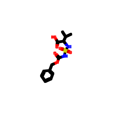 CC(C)C(NS(=O)(=O)NC(=O)OCc1ccccc1)C(=O)O